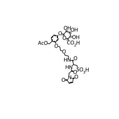 CC(=O)OCc1ccc(O[C@@H]2O[C@H](C(=O)O)[C@@H](O)[C@H](O)[C@H]2O)cc1OCCOCCNC(=O)C(CS(=O)(=O)O)NC(=O)CN1C(=O)C=CC1=O